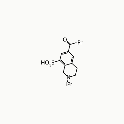 CC(C)C(=O)c1cc2c(c(S(=O)(=O)O)c1)CN(C(C)C)CC2